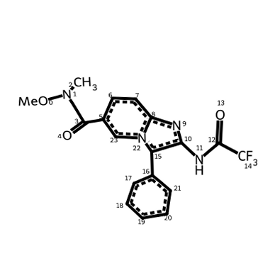 CON(C)C(=O)c1ccc2nc(NC(=O)C(F)(F)F)c(-c3ccccc3)n2c1